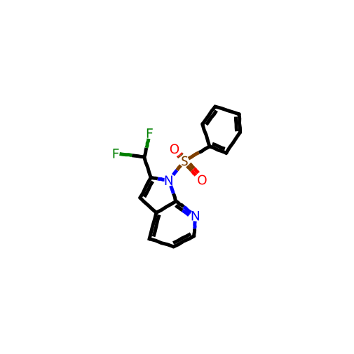 O=S(=O)(c1ccccc1)n1c(C(F)F)cc2cccnc21